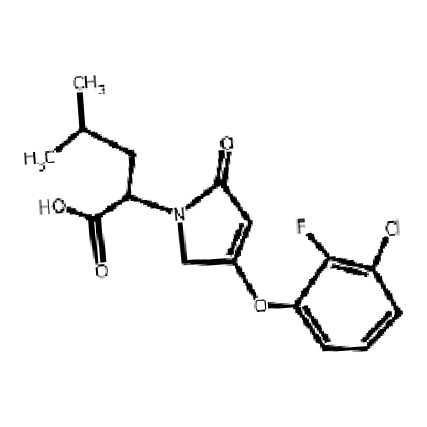 CC(C)CC(C(=O)O)N1CC(Oc2cccc(Cl)c2F)=CC1=O